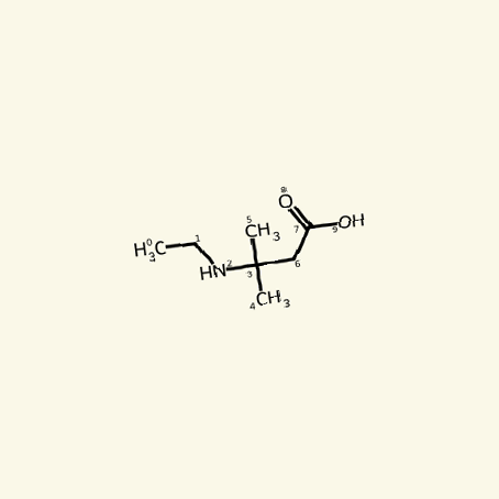 CCNC(C)(C)CC(=O)O